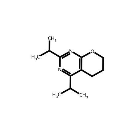 CC(C)c1nc2c(c(C(C)C)n1)CCCO2